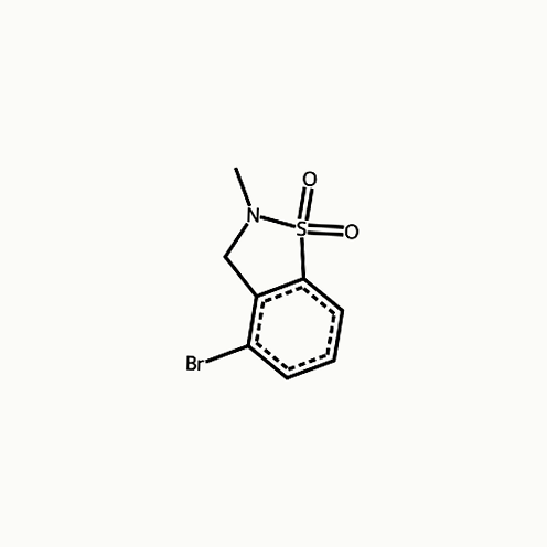 CN1Cc2c(Br)cccc2S1(=O)=O